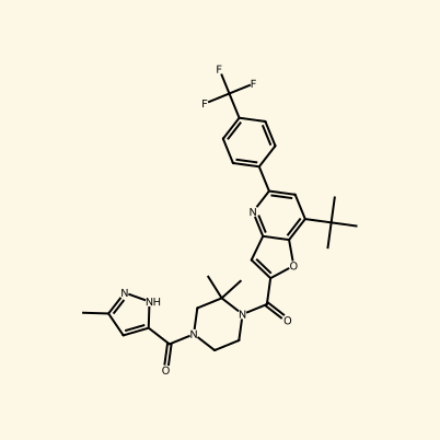 Cc1cc(C(=O)N2CCN(C(=O)c3cc4nc(-c5ccc(C(F)(F)F)cc5)cc(C(C)(C)C)c4o3)C(C)(C)C2)[nH]n1